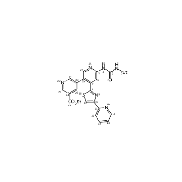 CCNC(=O)Nc1cc(-c2nc(-c3ccccn3)cs2)c(-c2cncc(C(=O)OCC)c2)cn1